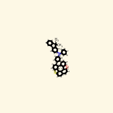 CC1(C)c2ccccc2-c2ccc(N(c3ccccc3)c3ccc(-c4ccc5sc6ccc7ccc8oc9cccc%10c9c8c7c6c5c4-%10)cc3)cc21